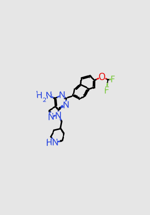 Nc1nc(-c2ccc3cc(OC(F)F)ccc3c2)nc2c1cnn2CC1CCNCC1